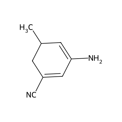 CC1C=C(N)C=C(C#N)C1